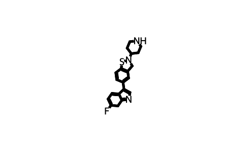 FC1=CC=C2C(c3ccc4c(c3)CN(C3CCNCC3)S4)=CN=C2C1